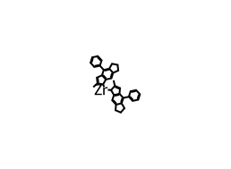 CC1=Cc2c(cc3c(c2-c2ccccc2)CCC3)[CH]1[Zr][CH]1C(C)=Cc2c1cc1c(c2-c2ccccc2)CCC1